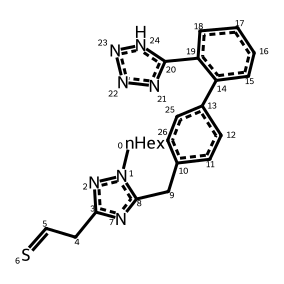 CCCCCCn1nc(CC=S)nc1Cc1ccc(-c2ccccc2-c2nnn[nH]2)cc1